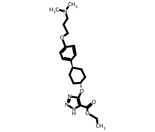 CCOC(=O)c1[nH]nnc1O[C@H]1CC[C@H](c2ccc(OCCCN(C)C)cc2)CC1